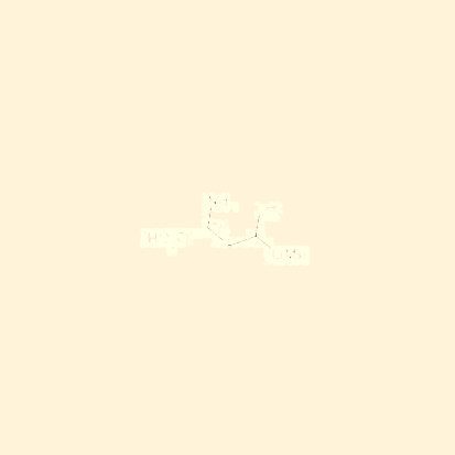 COC(C)C[C@@H](N)C(=O)O